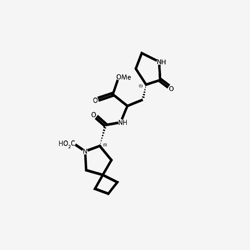 COC(=O)C(C[C@@H]1CCNC1=O)NC(=O)[C@@H]1CC2(CCC2)CN1C(=O)O